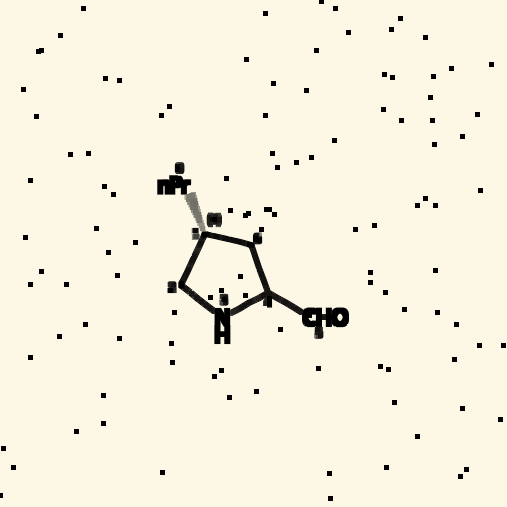 CCC[C@H]1CNC(C=O)C1